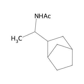 CC(=O)NC(C)C1CC2CCC1C2